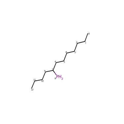 CCCCCCCC(P)CCCC